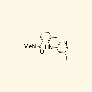 CNC(=O)c1cccc(C)c1Nc1cncc(F)c1